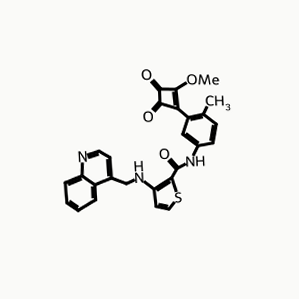 COc1c(-c2cc(NC(=O)c3sccc3NCc3ccnc4ccccc34)ccc2C)c(=O)c1=O